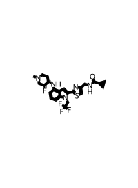 CN1CC[C@@H](Nc2cccc3c2cc(-c2nc(CNC(=O)C4CC4)cs2)n3CC(F)(F)F)[C@@H](F)C1